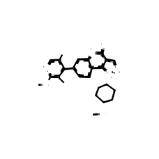 COc1ncc(C)c(-c2ccc3c(c2)[nH]c(=O)c2cnn([C@H]4CC[C@@H](OC)CC4)c23)c1C